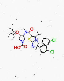 CCN(C(=O)C1=C(C(C)C)N2C(=N[C@@](C)(c3ccc(Cl)cc3)[C@H]2c2ccc(Cl)cc2)S1)[C@H]1CN(C(=O)O)C[C@@H]1O[Si](CC)(CC)CC